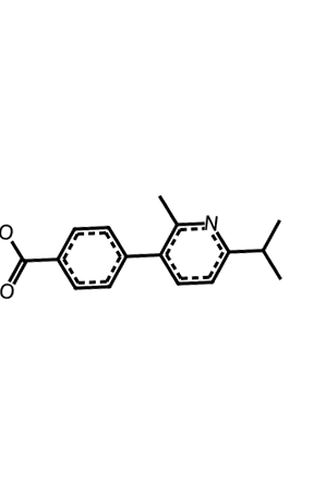 Cc1nc(C(C)C)ccc1-c1ccc(C(=O)O)cc1